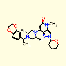 CC[C@H]1CN(C(C)c2ccc3c(c2)OCCO3)[C@H](CC)CN1c1cc(=O)n(C)c2cn(C3CCCCO3)nc12